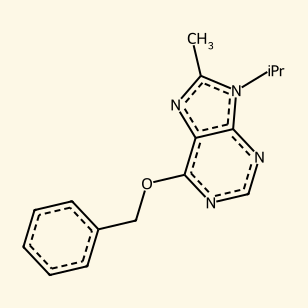 Cc1nc2c(OCc3ccccc3)ncnc2n1C(C)C